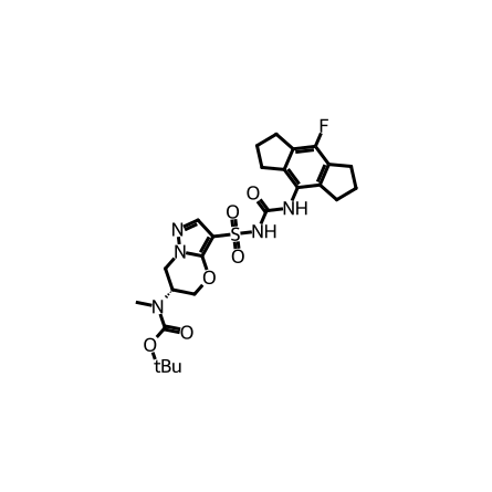 CN(C(=O)OC(C)(C)C)[C@H]1COc2c(S(=O)(=O)NC(=O)Nc3c4c(c(F)c5c3CCC5)CCC4)cnn2C1